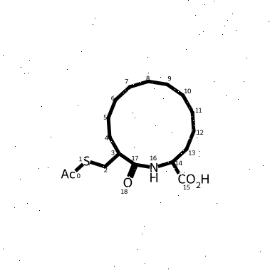 CC(=O)SCC1CCCCCCCCCCC(C(=O)O)NC1=O